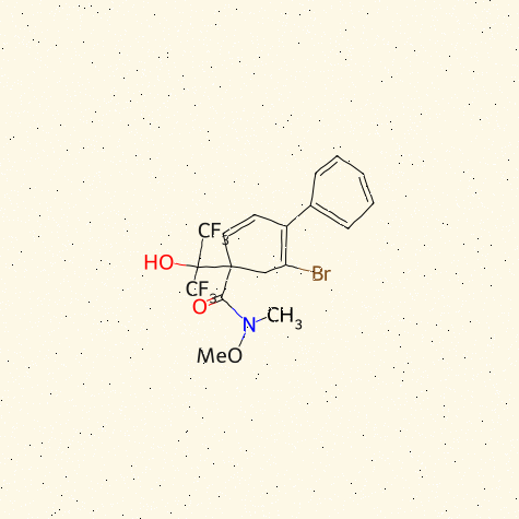 CON(C)C(=O)C1(C(O)(C(F)(F)F)C(F)(F)F)C=CC(c2ccccc2)=C(Br)C1